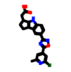 Cc1cc(-c2nc(-c3ccc4[nH]c5c(c4c3)CCC5CC(=O)O)no2)cc(Cl)n1